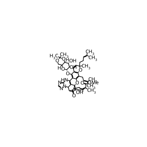 COC(=O)/C(C)=C\CC1(O)C(=O)C2CC(C(C)C)C13Oc1c(CC=C(C)C)c4c(c(O[C@@H]5O[C@@H]6COC(C)(C)O[C@H]6[C@H](O)[C@H]5O)c1C1=C3C2n2ncnc2N1)C=CC(C)(CCC=C(C)C)O4